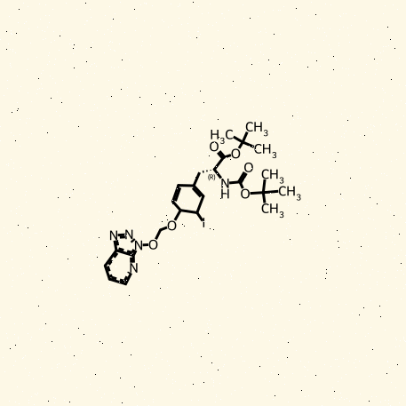 CC(C)(C)OC(=O)N[C@H](CC1=CC(I)C(OCOn2nnc3cccnc32)C=C1)C(=O)OC(C)(C)C